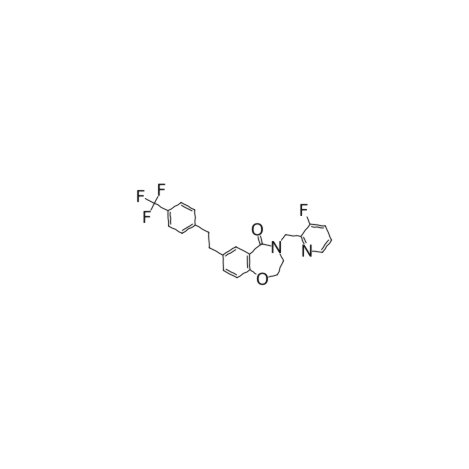 O=C1c2cc(CCc3ccc(C(F)(F)F)cc3)ccc2OCCN1Cc1ncccc1F